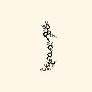 Cn1nc(C2CCC(=O)NC2=O)c2cccc(C#CCO[C@H]3CCN(CC4CCC(/C=[N+]5/C=C(NC(=O)OC(C)(C)C)C(C(F)F)=N5)CC4)C[C@H]3F)c21